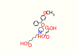 COc1ccc(C(OC2CCN(CCCCCCC(=O)O)CC2)c2ccccc2)cc1.O=C(O)/C=C/C(=O)O